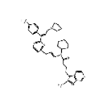 Cc1ccc(C(=CCN2CCCC2)c2cccc(CC=CN(C(=O)CCCn3c(C)nc4cnccc43)C3CCCCC3)n2)cc1